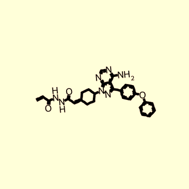 C=CC(=O)NNC(=O)C=C1CCC(n2nc(-c3ccc(Oc4ccccc4)cc3)c3c(N)ncnc32)CC1